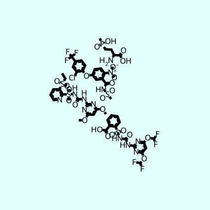 CCS(=O)(=O)c1cccnc1S(=O)(=O)NC(=O)Nc1nc(OC)cc(OC)n1.CP(=O)(O)CCC(N)C(=O)O.CS(=O)(=O)NC(=O)c1cc(Oc2ccc(C(F)(F)F)cc2Cl)ccc1[N+](=O)[O-].O=C(Nc1nc(OC(F)F)cc(OC(F)F)n1)NS(=O)(=O)c1ccccc1C(=O)O